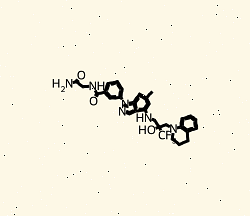 Cc1cc(NCC(O)(CN2CCCc3ccccc32)C(F)(F)F)c2cnn(-c3cccc(C(=O)NCC(N)=O)c3)c2c1